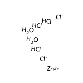 Cl.Cl.Cl.O.O.[Cl-].[Cl-].[Zn+2]